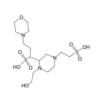 O=S(=O)(O)CCN1CCN(CCO)C(C(CCN2CCOCC2)S(=O)(=O)O)C1